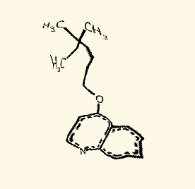 CC(C)(C)CCOc1ccnc2ccccc12